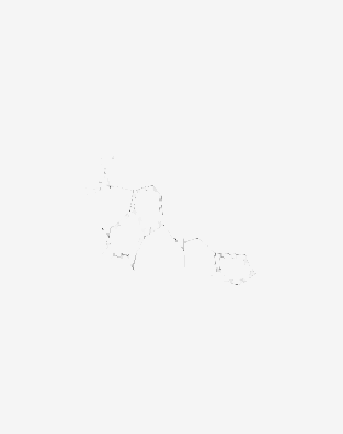 O=[N+]([O-])c1ccc(NCc2ccco2)c2nonc12